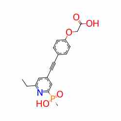 CCc1cc(C#Cc2ccc(OCC(=O)O)cc2)cc(P(C)(=O)O)n1